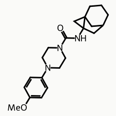 COc1ccc(N2CCN(C(=O)NC34CC5CCCC3(C5)C4)CC2)cc1